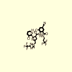 Cc1cc(C#N)cc(C(=O)NCCC(F)(F)F)c1NC(=O)C1CC(Cn2nnc(C(F)(F)F)n2)=NN1c1ncccc1Cl